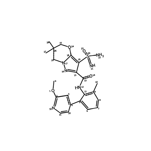 COc1cc(-c2cccc(C)c2NC(=O)c2nn3c(c2S(=N)(N)=O)OCC(C)(C)C3)ccn1